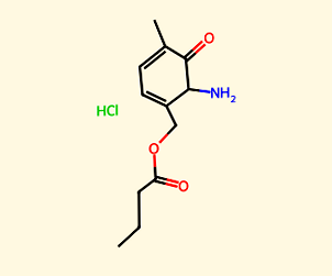 CCCC(=O)OCC1=CC=C(C)C(=O)C1N.Cl